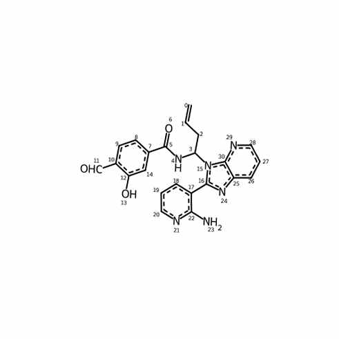 C=CCC(NC(=O)c1ccc(C=O)c(O)c1)n1c(-c2cccnc2N)nc2cccnc21